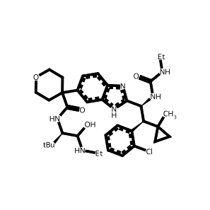 CCNC(=O)N[C@H](c1nc2ccc(C3(C(=O)N[C@@H](C(O)NCC)C(C)(C)C)CCOCC3)cc2[nH]1)[C@H](c1ccccc1Cl)C1(C)CC1